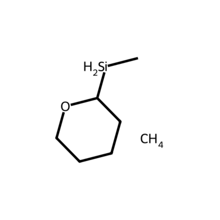 C.C[SiH2]C1CCCCO1